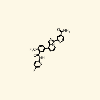 NC(=O)c1ccnc(-c2ncc3c(-c4ccc(C(F)(F)F)c(C(=O)Nc5ccc(F)cn5)c4)cccn23)c1